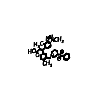 Cc1ccc(C(CC(=O)O)c2ccc3c(nnn3C)c2C)cc1CN1CCCC(S(=O)(=O)c2ccccc2)C1